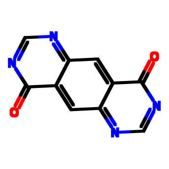 O=C1N=CN=c2cc3c(cc21)=NC=NC3=O